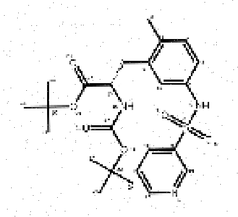 Cc1ccc(NS(=O)(=O)c2cccnc2)cc1C[C@H](NC(=O)OC(C)(C)C)C(=O)OC(C)(C)C